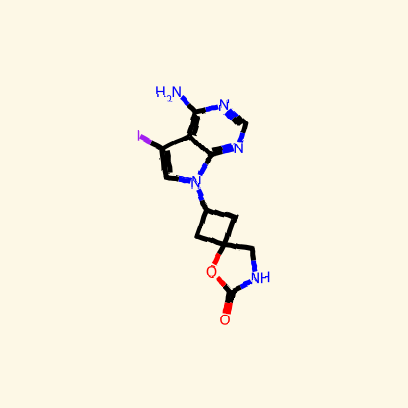 Nc1ncnc2c1c(I)cn2C1CC2(CNC(=O)O2)C1